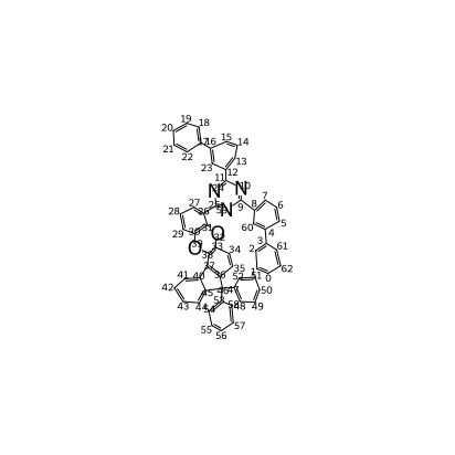 c1ccc(-c2cccc(-c3nc(-c4cccc(-c5ccccc5)c4)nc(-c4cccc5c4Oc4ccc6c(c4O5)-c4ccccc4C6(c4ccccc4)c4ccccc4)n3)c2)cc1